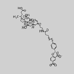 CC(CCC(=O)O)[C@@H]1CC[C@H]2[C@@H]3[C@H](O)C[C@@H]4C[C@H](OCCNC(=O)CCSSc5ccc(COc6ccc([N+](=O)[O-])cc6[N+](=O)[O-])cc5)CC[C@]4(C)[C@H]3C[C@H](O)[C@]12C